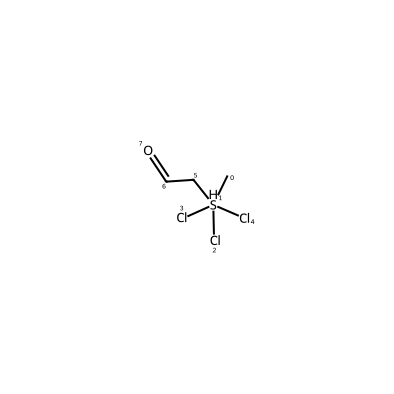 C[SH](Cl)(Cl)(Cl)CC=O